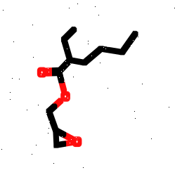 CCCCC(CC)C(=O)OCC1CO1